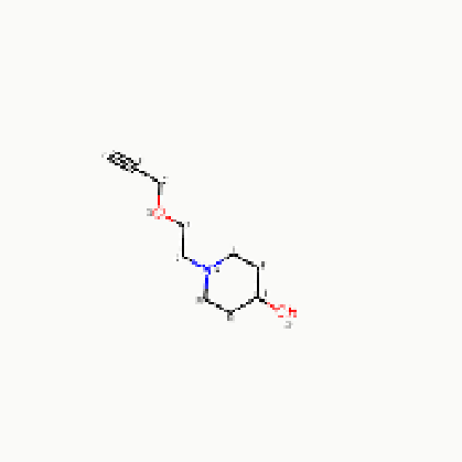 C#CCOCCN1CCC(O)CC1